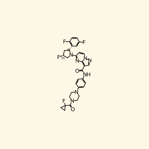 O=C(Nc1ccc(N2CCN(C(=O)C3(F)CC3)CC2)cc1)c1cnn2ccc(N3C[C@@H](F)C[C@@H]3c3cc(F)ccc3F)nc12